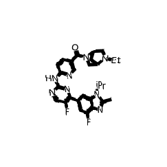 CCN1CC2CC1CN2C(=O)c1ccc(Nc2ncc(F)c(-c3cc(F)c4nc(C)n(C(C)C)c4c3)n2)nc1